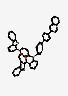 c1ccc(N(c2ccc(-c3ccc(-c4ccc5ccccc5c4)cc3)cc2)c2ccc(-c3cccc4c3oc3ccccc34)cc2)c(-c2cccc3c2sc2ccccc23)c1